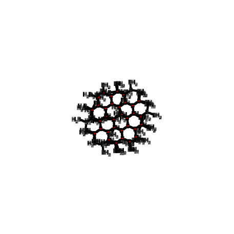 BB(B)B(B)B(B(B(B)B)B(B)B)B(B(B(B)B)B(B)B)B(B(B(B(B)B)B(B)B)B(B(B)B)B(B)B)B(B(B(B(B(B)B)B(B)B)B(B(B)B)B(B)B)B(B(B(B)B)B(B)B)B(B(B)B)B(B)B)B(B(B(B(B(B)B)B(B)B)B(B(B)B)B(B)B)B(B(B(B)B)B(B)B)B(B(B)B)B(B)B)B(B(B(B(B)B)B(B)B)B(B(B)B)B(B)B)B(B(B(B)B)B(B)B)B(B(B)B)B(B)B